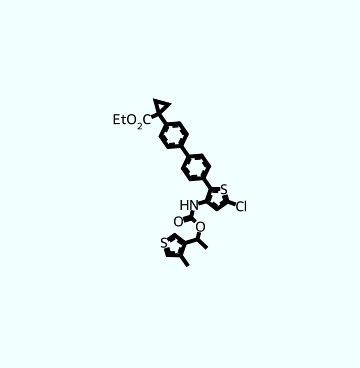 CCOC(=O)C1(c2ccc(-c3ccc(-c4sc(Cl)cc4NC(=O)OC(C)c4cscc4C)cc3)cc2)CC1